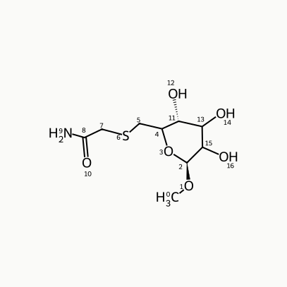 CO[C@H]1OC(CSCC(N)=O)[C@H](O)C(O)C1O